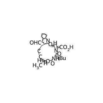 CC1[C@H]2CCCCCc3c(nc4ccccc4c3C=O)O[C@@H]3C[C@@H](C(=O)O)N(C3)C(=O)[C@H](C(C)(C)C)NC(=O)O[C@H]12